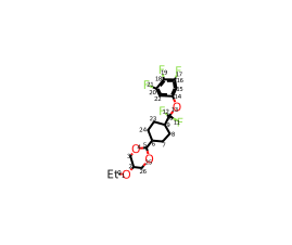 CCOC1COC(C2CCC(C(F)(F)Oc3cc(F)c(F)c(F)c3)CC2)OC1